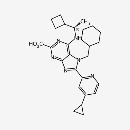 C[C@@H](Nc1nc(C(=O)O)nc2nc(-c3cc(C4CC4)ccn3)n(CC3CCCCC3)c12)C1CCC1